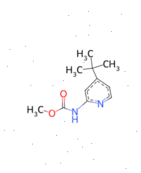 COC(=O)Nc1cc(C(C)(C)C)ccn1